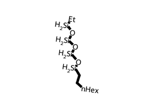 CCCCCCCC[SiH2]O[SiH2]O[SiH2]O[SiH2]CC